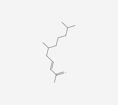 [CH]=C(C)/C=C/CC(C)CCCC(C)C